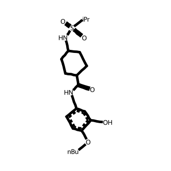 CCCCOc1ccc(NC(=O)C2CCC(NS(=O)(=O)C(C)C)CC2)cc1O